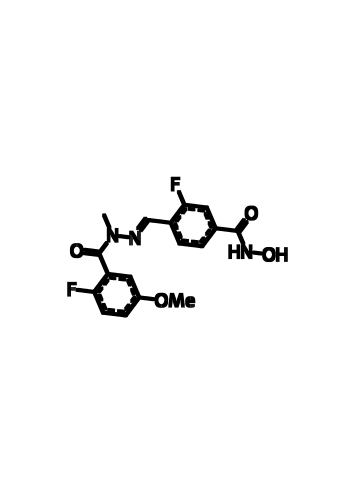 COc1ccc(F)c(C(=O)N(C)N=Cc2ccc(C(=O)NO)cc2F)c1